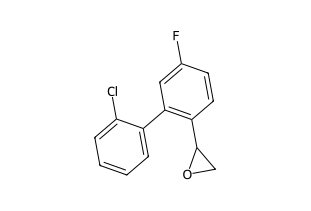 Fc1ccc(C2CO2)c(-c2ccccc2Cl)c1